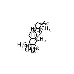 CCOC1C[C@@]2(C)C(CC[C@H]3[C@@H]4CC[C@H](C(C)=O)[C@@]4(C)CC[C@@H]32)CC1(O)N(C)C